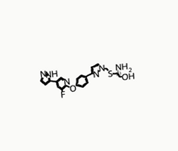 N[C@H](CO)SCn1ccc(-c2ccc(Oc3ncc(-c4ccn[nH]4)cc3F)cc2)n1